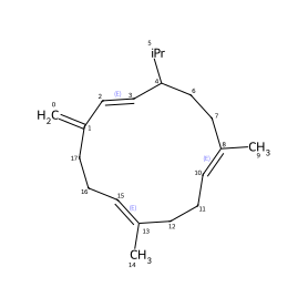 C=C1/C=C/C(C(C)C)CC/C(C)=C/CC/C(C)=C/CC1